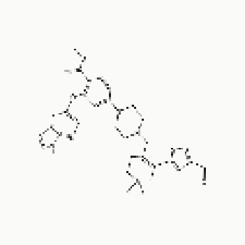 COC(=O)c1ccc(N2CCN(CC3=C(c4cc(C=O)cs4)CC(C)(C)CC3)CC2)cc1Oc1cnc2[nH]ccc2c1